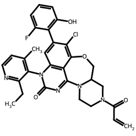 C=CC(=O)N1CCN2c3nc(=O)n(-c4c(C)ccnc4CC)c4cc(-c5c(O)cccc5F)c(Cl)c(c34)OCC2C1